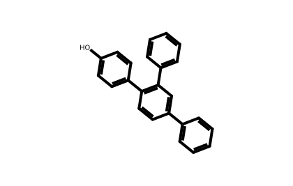 Oc1ccc(-c2ccc(-c3ccccc3)cc2-c2ccccc2)cc1